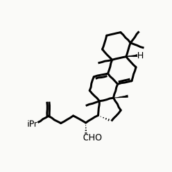 C=C(CC[C@@H](C=O)[C@H]1CC[C@@]2(C)C3=CC[C@H]4C(C)(C)CCCC4(C)C3=CCC12C)C(C)C